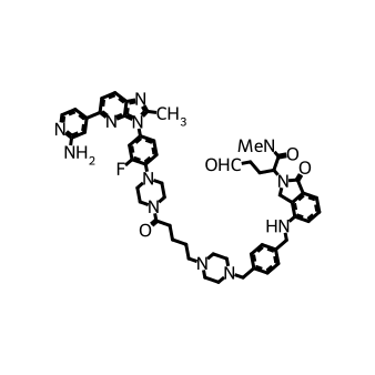 CNC(=O)C(CCC=O)N1Cc2c(NCc3ccc(CN4CCN(CCCCC(=O)N5CCN(c6ccc(-n7c(C)nc8ccc(-c9ccnc(N)c9)nc87)cc6F)CC5)CC4)cc3)cccc2C1=O